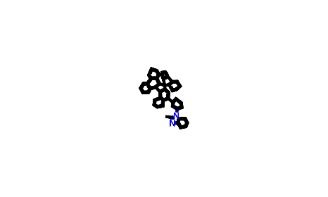 Cc1nc2ccccc2n1-c1cccc(-c2cc3c(c4ccccc24)-c2c(c4ccccc4c4ccccc24)C32c3ccccc3-c3ccccc32)c1